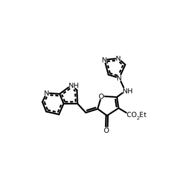 CCOC(=O)C1=C(Nn2cnnc2)O/C(=C\c2c[nH]c3ncccc23)C1=O